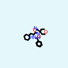 N#CC1(NC(=O)C(CC2CCCCC2)NC(=O)c2ccccc2)CCOCC1